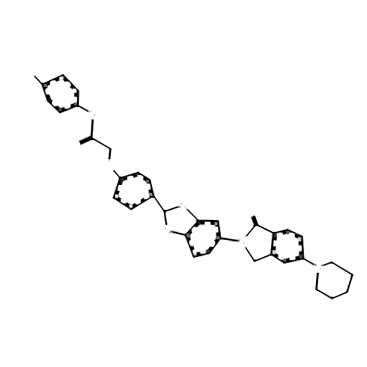 Cc1ccc(NC(=O)COc2ccc(C3Nc4ccc(N5Cc6cc(N7CCCCC7)ccc6C5=O)cc4N3)cc2)cc1